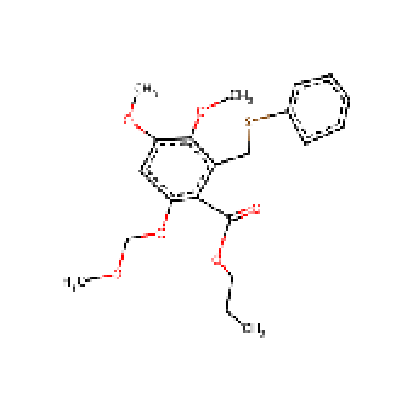 CCCOC(=O)c1c(OCOC)cc(OC)c(OC)c1CSc1ccccc1